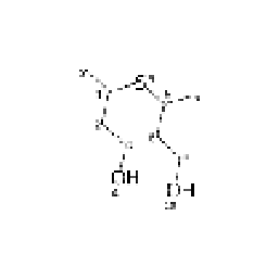 CC(CCO)SC(C)CCO